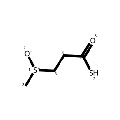 C[S+]([O-])CCC(=O)S